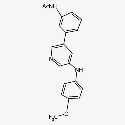 CC(=O)Nc1cccc(-c2cncc(Nc3ccc(OC(F)(F)F)cc3)c2)c1